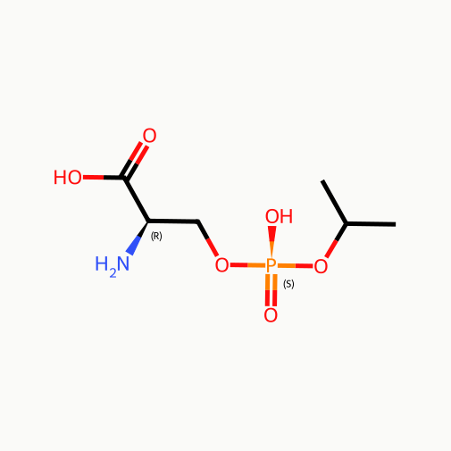 CC(C)O[P@@](=O)(O)OC[C@@H](N)C(=O)O